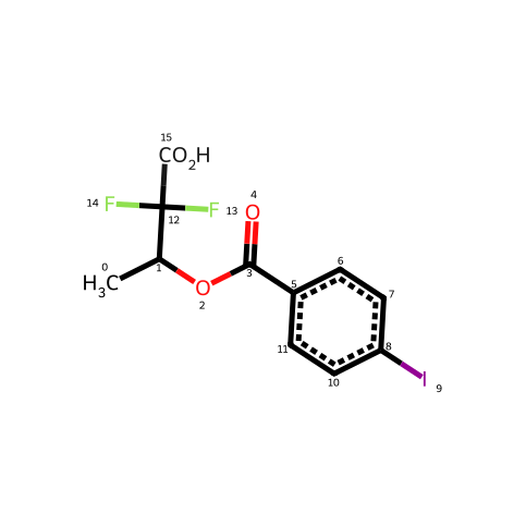 CC(OC(=O)c1ccc(I)cc1)C(F)(F)C(=O)O